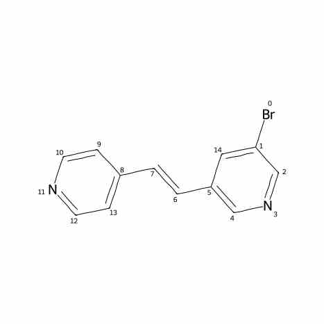 Brc1cncc(/C=C/c2ccncc2)c1